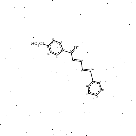 O=C(O)c1ccc(C(=O)/C=C/C=C/c2ccccc2)cc1